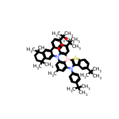 Cc1cc2c3c(c1)N(c1ccc(C(C)(C)C)cc1)c1c(sc4ccc(C(C)(C)C)cc14)B3c1cc(C(C)(C)C)ccc1N2c1cc2c(cc1-c1ccc(C(C)(C)C)cc1)C(C)(C)CCC2(C)C